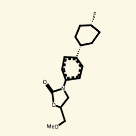 COCC1CN(c2ccc([C@H]3CC[C@@H](F)CC3)cc2)C(=O)O1